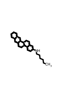 CCCCCCNc1ccc2c(ccc3c4cc5ccccc5cc4ccc23)c1